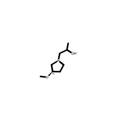 CO[C@@H]1CCN(CC(C)O)C1